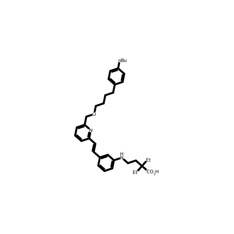 CCCCc1ccc(CCCCOCc2cccc(C=Cc3cccc(NCCC(CC)(CC)C(=O)O)c3)n2)cc1